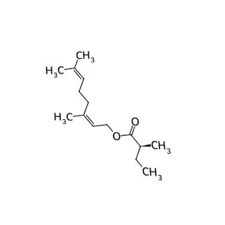 CC[C@H](C)C(=O)OC/C=C(/C)CCC=C(C)C